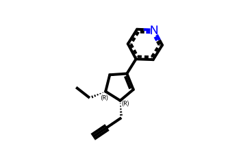 C#CC[C@H]1C=C(c2ccncc2)C[C@H]1CC